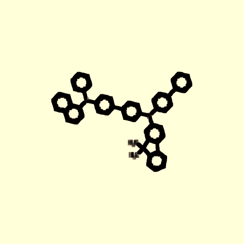 CC1(C)c2ccccc2-c2ccc(N(c3ccc(-c4ccccc4)cc3)c3ccc(-c4ccc(N(c5ccccc5)c5cccc6ccccc56)cc4)cc3)cc21